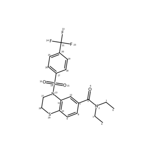 CCN(CC)C(=O)c1ccc2c(c1)N(S(=O)(=O)c1ccc(C(F)(F)F)cc1)CCS2